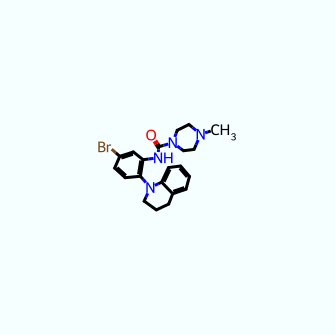 CN1CCN(C(=O)Nc2cc(Br)ccc2N2CCCc3ccccc32)CC1